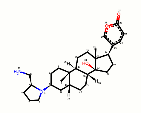 C[C@]12CC[C@H](N3CCC[C@H]3CN)C[C@H]1CC[C@@H]1[C@@H]2CC[C@]2(C)[C@@H](c3ccc(=O)oc3)CC[C@]12O